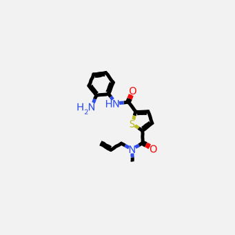 C=CCN(C)C(=O)c1ccc(C(=O)Nc2ccccc2N)s1